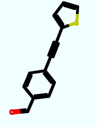 O=Cc1ccc(C#Cc2cccs2)cc1